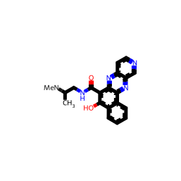 CNC(C)CNC(=O)c1c(O)c2ccccc2c2nc3cnccc3nc12